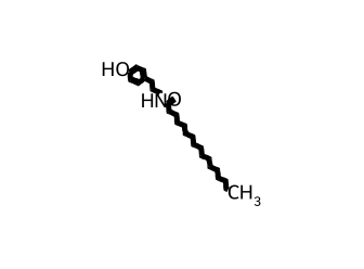 CCCCCCCCCCCCCCCCC(=O)NCCCc1ccc(O)cc1